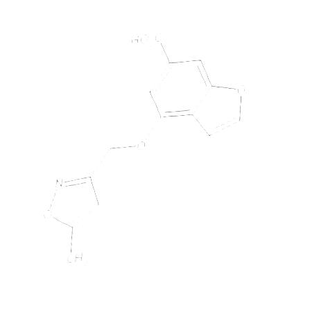 Cc1cc(COc2cc(C(=O)O)cc3occc23)no1